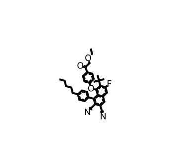 CCCCCc1ccc(-c2c(C#N)c(C#N)cc3cc(F)c(C(C)(C)C)c(Oc4ccc(C(=O)COCC)cc4)c23)cc1